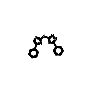 c1ccc(-c2csc(Sc3nnc(-c4ccccc4)s3)n2)cc1